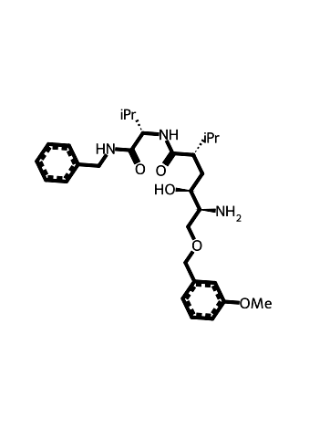 COc1cccc(COC[C@H](N)[C@@H](O)C[C@H](C(=O)N[C@H](C(=O)NCc2ccccc2)C(C)C)C(C)C)c1